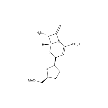 COC[C@@H]1CC[C@H](C2C=C(C(=O)O)N3C(=O)[C@@H](N)[C@H]3S2)O1